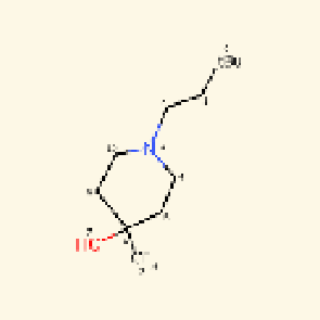 CC(C)(C)CCN1CCC(O)(C(F)(F)F)CC1